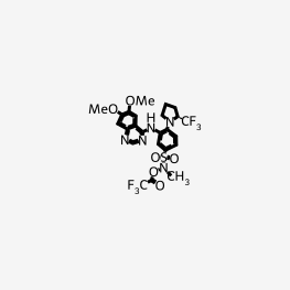 COc1cc2ncnc(Nc3cc(S(=O)(=O)N(C)OC(=O)C(F)(F)F)ccc3N3CCC[C@@H]3C(F)(F)F)c2cc1OC